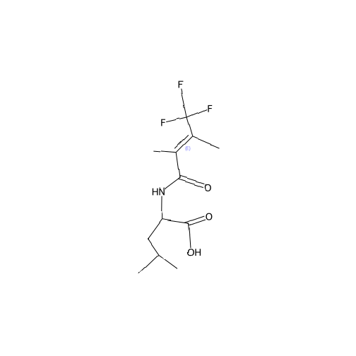 C/C(C(=O)NC(CC(C)C)C(=O)O)=C(/C)C(F)(F)F